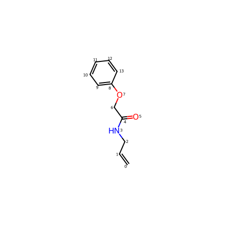 C=CCNC(=O)COc1ccccc1